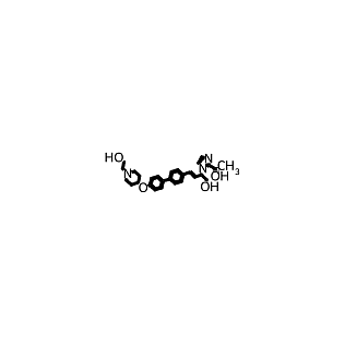 C[C@H](O)c1nccn1C(C=Cc1ccc(-c2ccc(OC3CCN(CCO)CC3)cc2)cc1)CO